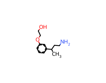 CC(CCN)c1cccc(OCCO)c1